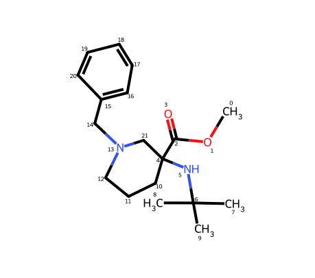 COC(=O)C1(NC(C)(C)C)CCCN(Cc2ccccc2)C1